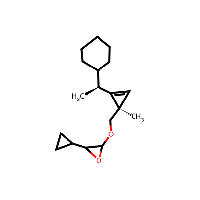 C[C@H](C1=C[C@@]1(C)COC1OC1C1CC1)C1CCCCC1